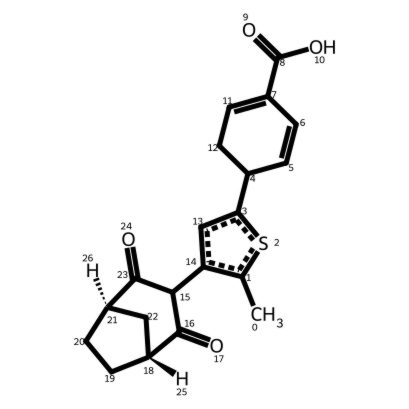 Cc1sc(C2C=CC(C(=O)O)=CC2)cc1C1C(=O)[C@@H]2CC[C@H](C2)C1=O